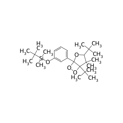 CC(C)(C)C1OC2(c3cccc(O[Si](C)(C)C(C)(C)C)c3)OOC2(C(C)(C)C)C1(C)C